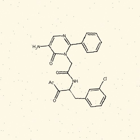 CC(=O)C(=O)C(Cc1cccc(Cl)c1)NC(=O)Cn1c(-c2ccccc2)ncc(N)c1=O